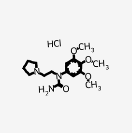 COc1cc(N(CCN2CCCC2)C(N)=O)cc(OC)c1OC.Cl